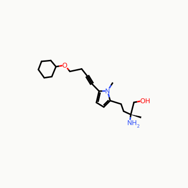 Cn1c(C#CCCOC2CCCCC2)ccc1CC[C@@](C)(N)CO